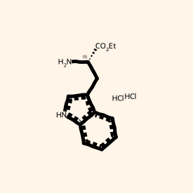 CCOC(=O)[C@@H](N)Cc1c[nH]c2ccccc12.Cl.Cl